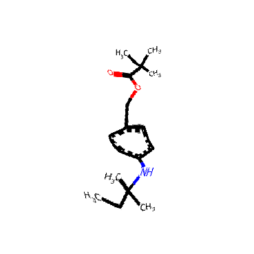 CCC(C)(C)Nc1ccc(COC(=O)C(C)(C)C)cc1